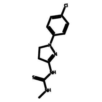 CNC(=S)NC1=NN(c2ccc(Cl)cc2)CC1